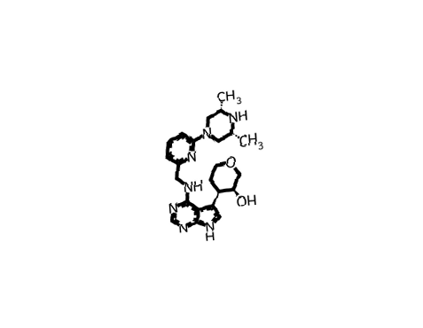 C[C@@H]1CN(c2cccc(CNc3ncnc4[nH]cc([C@H]5CCOC[C@H]5O)c34)n2)C[C@H](C)N1